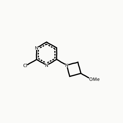 COC1CN(c2ccnc(Cl)n2)C1